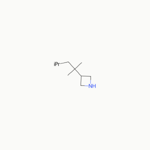 CC(C)CC(C)(C)C1CNC1